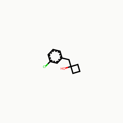 OC1(Cc2cccc(Cl)c2)CCC1